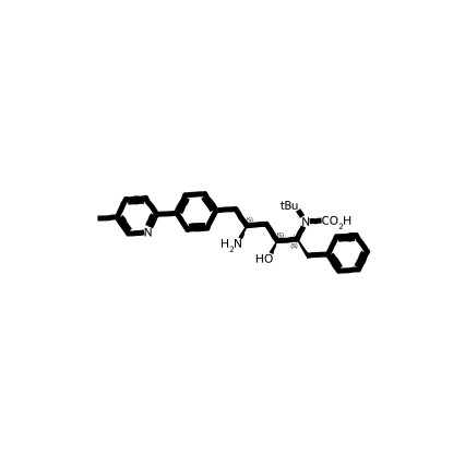 Cc1ccc(-c2ccc(C[C@H](N)C[C@H](O)[C@H](Cc3ccccc3)N(C(=O)O)C(C)(C)C)cc2)nc1